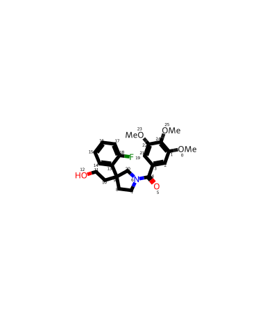 COc1cc(C(=O)N2CCC(CCO)(c3ccccc3F)C2)cc(OC)c1OC